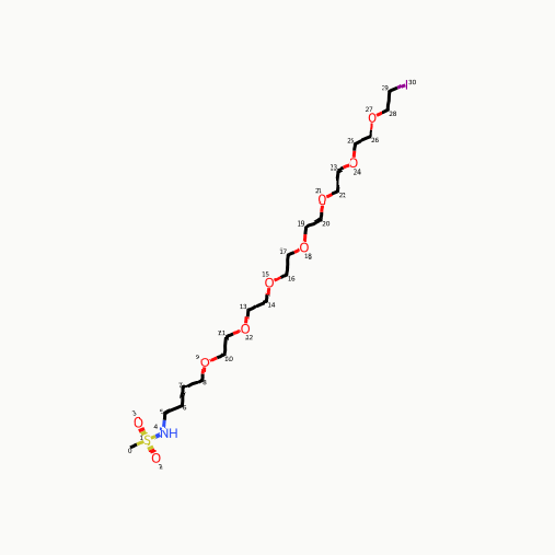 CS(=O)(=O)NCCCCOCCOCCOCCOCCOCCOCCOCCI